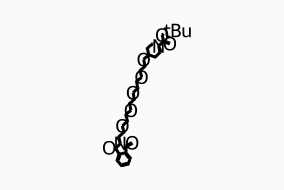 CC(C)(C)OC(=O)N1CCC(OCCOCCOCCOCCOCCN2C(=O)c3ccccc3C2=O)CC1